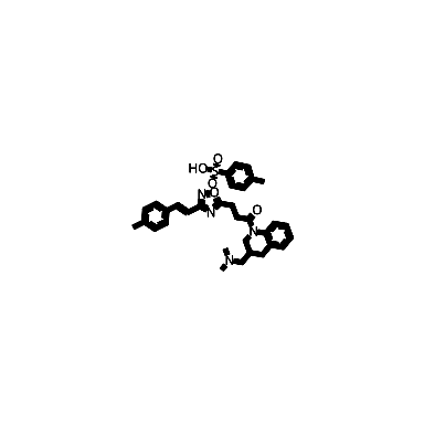 Cc1ccc(/C=C/c2noc(CCC(=O)N3CC(CN(C)C)Cc4ccccc43)n2)cc1.Cc1ccc(S(=O)(=O)O)cc1